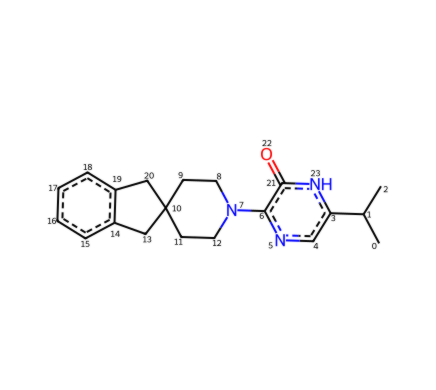 CC(C)c1cnc(N2CCC3(CC2)Cc2ccccc2C3)c(=O)[nH]1